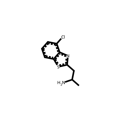 CC(N)Cc1nc2c(Cl)cccc2s1